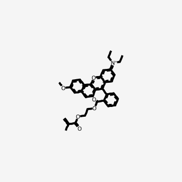 C=C(C)C(=O)OCCOC(=O)c1ccccc1-c1c2ccc(=[N+](CC)CC)cc-2oc2c1ccc1cc(OC)ccc12